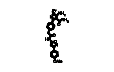 COc1ccc(-c2cc(NC(=O)Cc3ccc(-c4nn(C(C)C)c(N)c4C(N)=O)cc3)on2)cc1